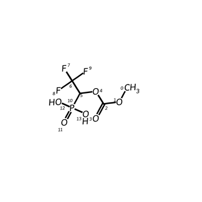 COC(=O)OC(C(F)(F)F)P(=O)(O)O